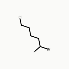 ClCCCCC(Br)I